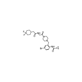 O=C(CC1CCC(F)(F)CC1)NCC(=O)N1CCN(Cc2cc(Br)ccc2NC(=O)C2CC2)CC1